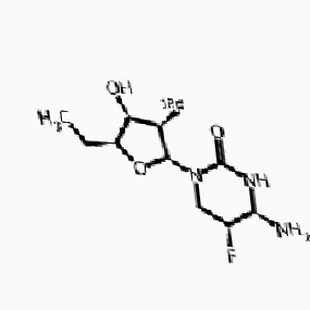 CC[C@@H]1O[C@H](N2C[C@H](F)[C@H](N)NC2=O)[C@H]([18F])[C@@H]1O